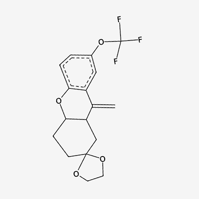 C=C1c2cc(OC(F)(F)F)ccc2OC2CCC3(CC12)OCCO3